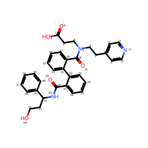 O=C(O)CCN(CCc1ccncc1)C(=O)c1ccccc1-c1ccccc1C(=O)NC(CCO)c1ccccc1